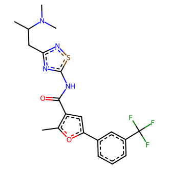 Cc1oc(-c2cccc(C(F)(F)F)c2)cc1C(=O)Nc1nc(CC(C)N(C)C)ns1